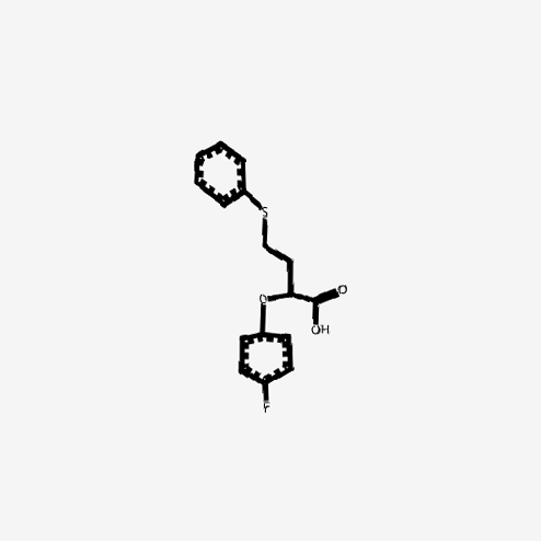 O=C(O)C(CCSc1ccccc1)Oc1ccc(F)cc1